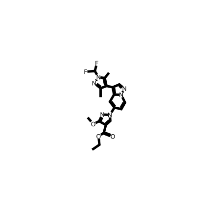 CCOC(=O)c1cn(-c2ccn3ncc(-c4c(C)nn(C(F)F)c4C)c3c2)nc1OC